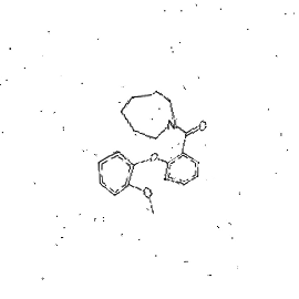 COc1ccccc1Oc1ccccc1C(=O)N1CCCCCC1